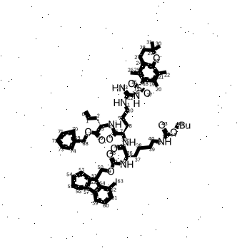 C=CC[C@H](NC(=O)[C@@H](CCCNC(=N)NS(=O)(=O)c1c(C)c(C)c2c(c1C)CCC(C)(C)O2)NC(=O)[C@@H](CCCCNC(=O)OC(C)(C)C)NC(=O)OCC1c2ccccc2-c2cccc(I)c21)C(=O)OCc1ccccc1